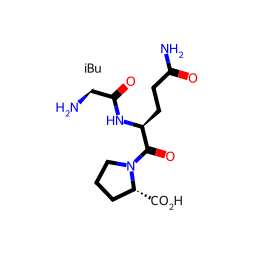 CC[C@H](C)[C@H](N)C(=O)N[C@@H](CCC(N)=O)C(=O)N1CCC[C@H]1C(=O)O